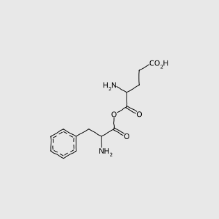 NC(CCC(=O)O)C(=O)OC(=O)C(N)Cc1ccccc1